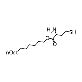 CCCCCCCCCCCCCCOC(=O)[C@@H](N)CCS